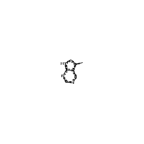 Cc1c[nH]c2ncncc12